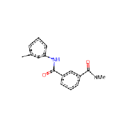 CNC(=O)c1cccc(C(=O)Nc2cccc(C)c2)c1